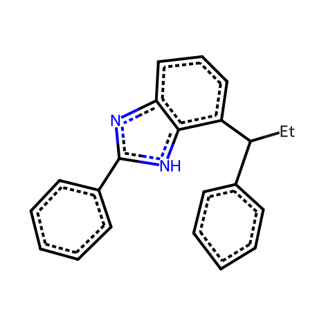 CCC(c1ccccc1)c1cccc2nc(-c3ccccc3)[nH]c12